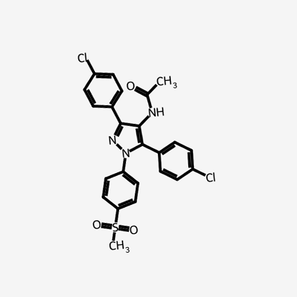 CC(=O)Nc1c(-c2ccc(Cl)cc2)nn(-c2ccc(S(C)(=O)=O)cc2)c1-c1ccc(Cl)cc1